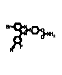 N#Cc1ccc(-c2nc(N3CCC(OC(N)=O)CC3)nc3ccc(Br)cc23)cc1F